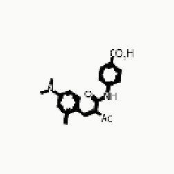 CC(=O)/C(=C/c1ccc(N(C)C)cc1C)C(=O)Nc1ccc(C(=O)O)cc1